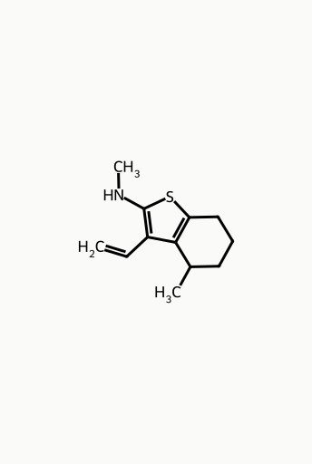 C=Cc1c(NC)sc2c1C(C)CCC2